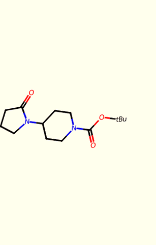 CC(C)(C)OC(=O)N1CCC(N2CCCC2=O)CC1